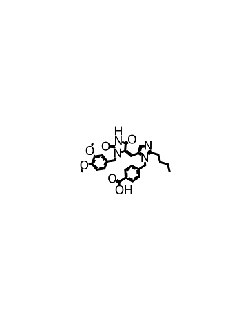 CCCCc1ncc(C=C2C(=O)NC(=O)N2Cc2ccc(OC)c(OC)c2)n1Cc1ccc(C(=O)O)cc1